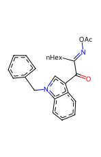 CCCCCC/C(=N\OC(C)=O)C(=O)c1cn(Cc2ccccc2)c2ccccc12